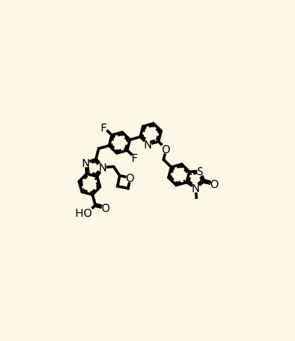 Cn1c(=O)sc2cc(COc3cccc(-c4cc(F)c(Cc5nc6ccc(C(=O)O)cc6n5CC5CCO5)cc4F)n3)ccc21